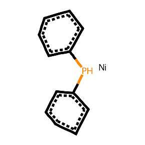 [Ni].c1ccc(Pc2ccccc2)cc1